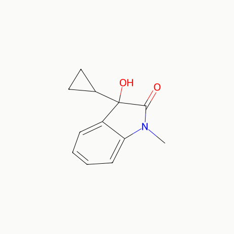 CN1C(=O)C(O)(C2CC2)c2ccccc21